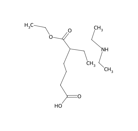 CCNCC.CCOC(=O)C(CC)CCCC(=O)O